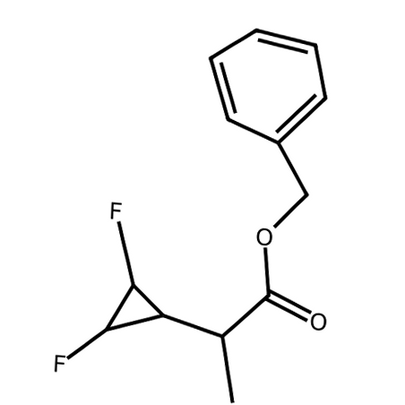 CC(C(=O)OCc1ccccc1)C1C(F)C1F